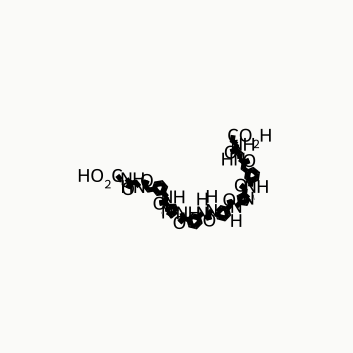 Cn1cc(NC(=O)c2cccc(NC(=O)Nc3cccc(C(=O)Nc4cc(C(=O)Nc5cccc(CC(=O)NCC(=O)NCC(=O)O)c5)n(C)c4)c3)c2)cc1C(=O)Nc1cccc(CC(=O)NCC(=O)NCC(=O)O)c1